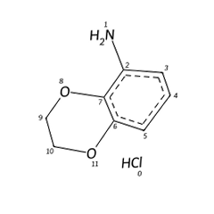 Cl.Nc1cccc2c1OCCO2